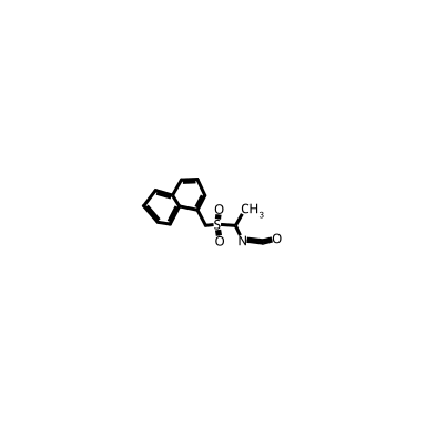 CC(N=C=O)S(=O)(=O)Cc1cccc2ccccc12